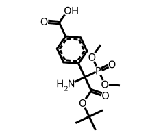 COP(=O)(OC)C(N)(C(=O)OC(C)(C)C)c1ccc(C(=O)O)cc1